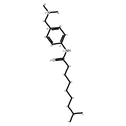 CC(C)CCCCCCC(=O)Nc1ccc(CN(C)C)cc1